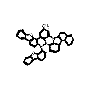 Cc1cc2c3c(c1)-n1c4ccc5ccccc5c4c4cccc(c41)B3N(c1cccc3c1oc1ccccc13)c1ccc3c(oc4ccccc43)c1-2